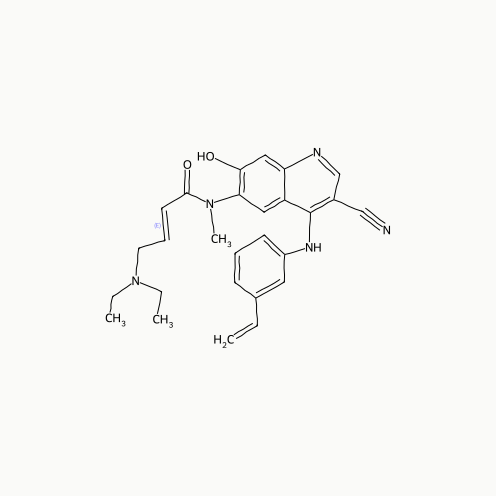 C=Cc1cccc(Nc2c(C#N)cnc3cc(O)c(N(C)C(=O)/C=C/CN(CC)CC)cc23)c1